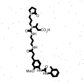 COc1cc(CCC(=O)NCCCNC(=O)N(CCCN2CCCC2=O)C(C)CC(=O)O)ccc1NC(=O)Nc1ccccc1C